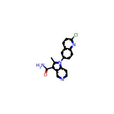 Cc1c(C(N)=O)c2cnccc2n1-c1ccc2nc(Cl)ccc2c1